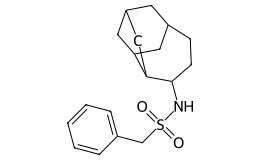 O=S(=O)(Cc1ccccc1)NC1CCC2CC3CC(C2)C1C3